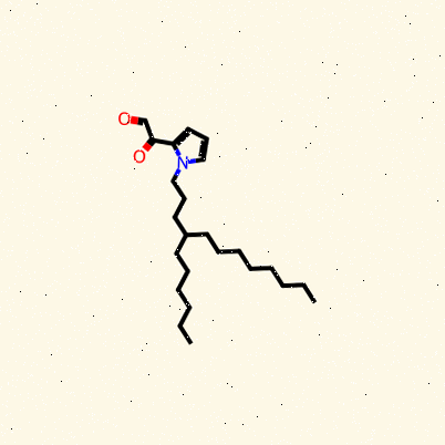 CCCCCCCCC(CCCCCC)CCCn1cccc1C(=O)C=O